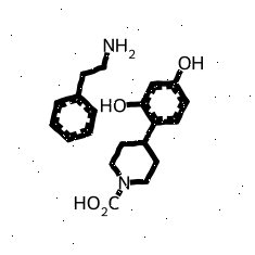 NCCc1ccccc1.O=C(O)N1CCC(c2ccc(O)cc2O)CC1